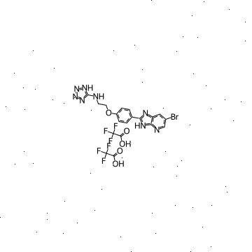 Brc1cnc2[nH]c(-c3ccc(OCCNc4nnn[nH]4)cc3)nc2c1.O=C(O)C(F)(F)F.O=C(O)C(F)(F)F